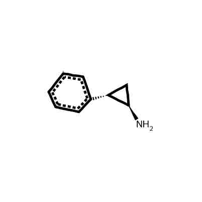 N[C@@H]1C[C@H]1c1c[c]ccc1